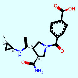 C=C(N[C@H]1C[C@@H]1C)[C@@H]1CN(C(=O)c2ccc(C(=O)O)cc2)C[C@H]1C(N)=O